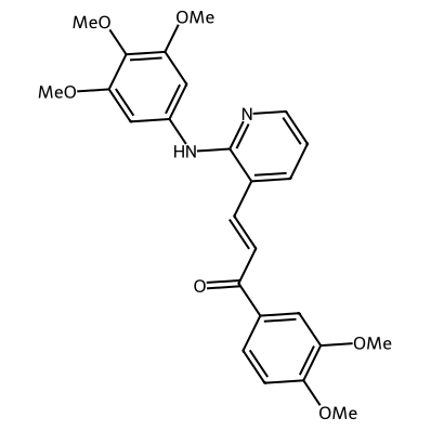 COc1ccc(C(=O)/C=C/c2cccnc2Nc2cc(OC)c(OC)c(OC)c2)cc1OC